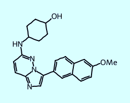 COc1ccc2cc(-c3cnc4ccc(NC5CCC(O)CC5)nn34)ccc2c1